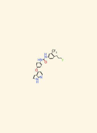 O=C(Nc1ccc(Oc2ccnc3[nH]ccc23)cc1)Nc1ccc(CCCF)c(C(F)(F)F)c1